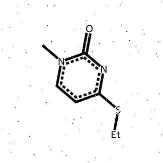 CCSc1ccn(C)c(=O)n1